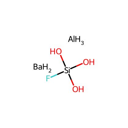 O[Si](O)(O)F.[AlH3].[BaH2]